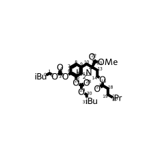 CCC(C)COC(=O)Oc1ccc(C[C@](N)(CCOC(=O)CCC(C)C)C(=O)OC)cc1OC(=O)OCC(C)CC